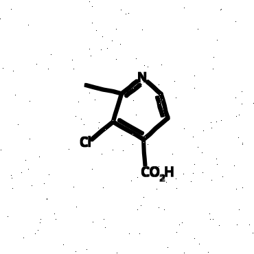 Cc1nccc(C(=O)O)c1Cl